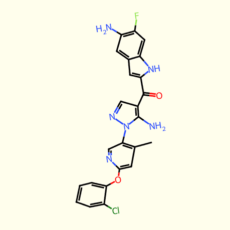 Cc1cc(Oc2ccccc2Cl)ncc1-n1ncc(C(=O)c2cc3cc(N)c(F)cc3[nH]2)c1N